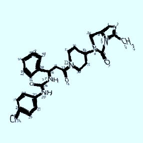 Cc1ncc2n1C(=O)N(C1CCN(C(=O)CC(NC(=O)Nc3ccc(Cl)cc3)c3ccccc3)CC1)C2